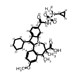 COc1ccc2c(c1)C(C)C(C)(C(=O)O)Cn1c-2c(C2CCCCC2)c2ccc(C(=O)NS(=O)(=O)N(C)C3CC3)cc21